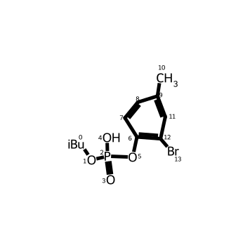 CCC(C)OP(=O)(O)Oc1ccc(C)cc1Br